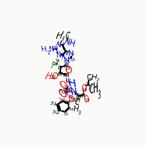 CNc1nc(N)nc2c1ncn2[C@@H]1O[C@H](COP(=O)(N[C@@H](C)C(=O)OC(C)C)Oc2ccccc2)[C@@H](O)[C@@H]1CF